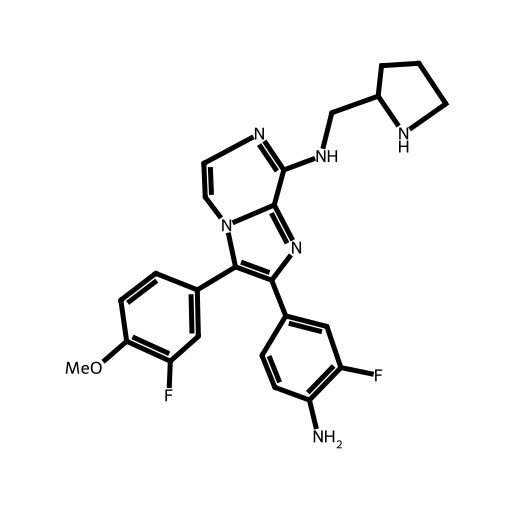 COc1ccc(-c2c(-c3ccc(N)c(F)c3)nc3c(NCC4CCCN4)nccn23)cc1F